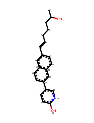 CC(O)CCCC=Cc1ccc2cc(-c3ccc(O)nc3)ccc2c1